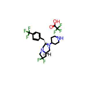 FC1(F)C[C@H]2CN(C3CCNCC3)[C@@H](Cc3ccc(C(F)(F)F)cc3)CN2C1.O=C(O)C(F)(F)F